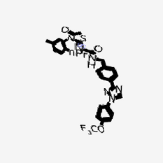 CCCc1ccc(C)cc1N1C(=O)CS/C1=N\C(=O)NCc1ccc(-c2ncn(-c3ccc(OC(F)(F)F)cc3)n2)cc1